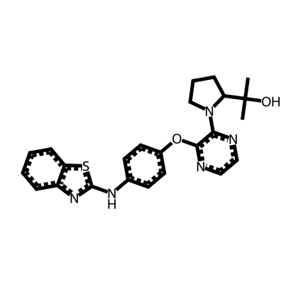 CC(C)(O)C1CCCN1c1nccnc1Oc1ccc(Nc2nc3ccccc3s2)cc1